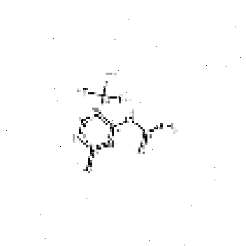 CC(=O)Nc1nc(=O)[nH]cc1C(F)(F)F